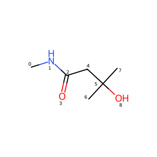 CNC(=O)CC(C)(C)O